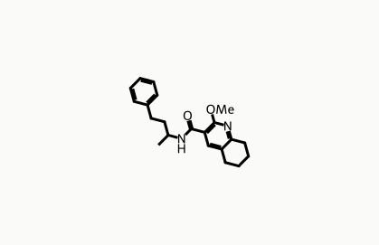 COc1nc2c(cc1C(=O)NC(C)CCc1ccccc1)CCCC2